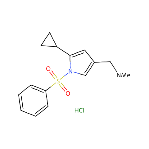 CNCc1cc(C2CC2)n(S(=O)(=O)c2ccccc2)c1.Cl